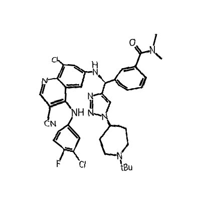 CN(C)C(=O)c1cccc([C@H](Nc2cc(Cl)c3ncc(C#N)c(Nc4ccc(F)c(Cl)c4)c3c2)c2cn(C3CCN(C(C)(C)C)CC3)nn2)c1